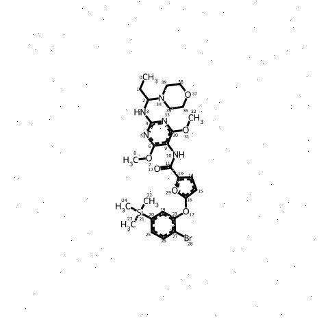 CCC(Nc1nc(OC)c(NC(=O)c2ccc(Oc3cc([Si](C)(C)C)ccc3Br)o2)c(OC)n1)N1CCOCC1